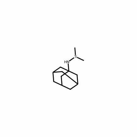 [CH3][Ti]([CH3])[NH]C12CC3CC(CC(C3)C1)C2